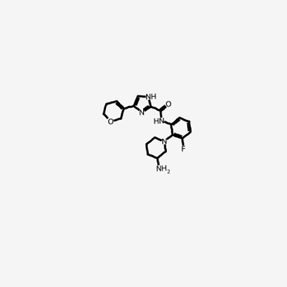 NC1CCCN(c2c(F)cccc2NC(=O)c2nc(C3=CCCOC3)c[nH]2)C1